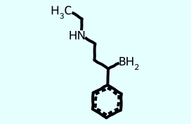 BC(CCNCC)c1ccccc1